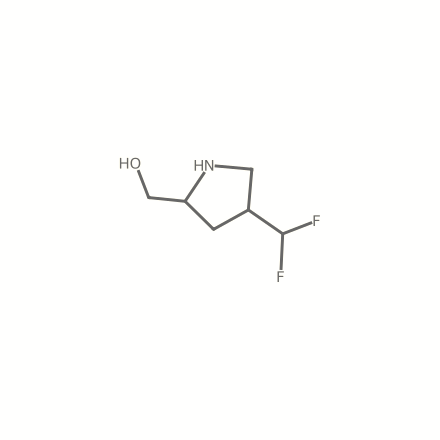 OCC1CC(C(F)F)CN1